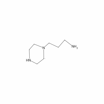 NCCCN1[CH]CNCC1